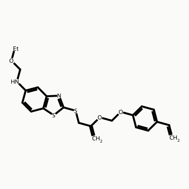 C=Cc1ccc(OCOC(=C)CSc2nc3cc(NCOCC)ccc3s2)cc1